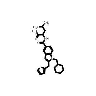 CC(C)CC(NC(=O)c1ccc2c(c1)nc(Cc1cccs1)n2CC1CCCCC1)C(=O)O